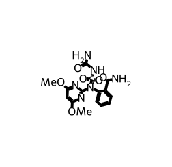 COc1cc(OC)nc(N(c2ccccc2C(N)=O)S(=O)(=O)NC(N)=O)n1